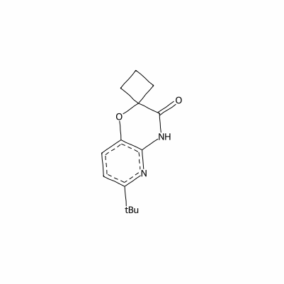 CC(C)(C)c1ccc2c(n1)NC(=O)C1(CCC1)O2